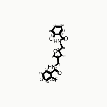 O=C(NCC1COC(CNC(=O)c2ccccc2Cl)C1)c1ccccc1F